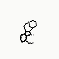 COc1cccc2c3c([nH]c12)C1CCCN(CC3)C1